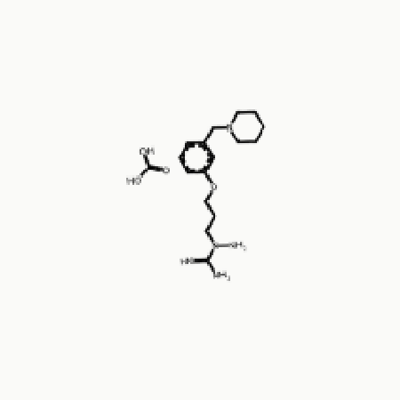 N=C(N)N(N)CCCOc1cccc(CN2CCCCC2)c1.O=C(O)O